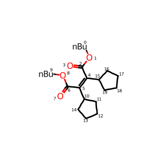 CCCCOC(=O)/C(=C(\C(=O)OCCCC)C1CCCC1)C1CCCC1